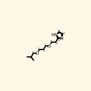 CC(C)COCCCSCCc1ncc[nH]1